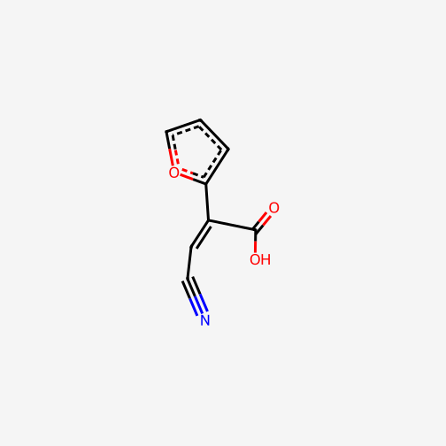 N#CC=C(C(=O)O)c1ccco1